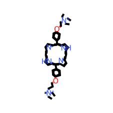 CC[N+](C)(CC)CCCOc1ccc(-c2c3nc(cc4ccc([nH]4)c(-c4ccc(OCC[N+](CC)(CC)CC)cc4)c4nc(cc5ccc2[nH]5)C=C4)C=C3)cc1